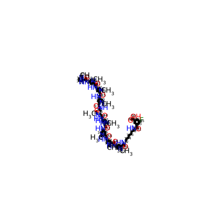 CC(=O)N[C@H](CCNC(=O)c1cc(NC(=O)c2cc(NC(=O)c3cc(NC(=O)c4nccn4C)cn3C)cn2C)cn1C)C(=O)Nc1cn(C)c(C(=O)Nc2cc(C(=O)Nc3cc(C(=O)Nc4cc(C(=O)NCCCCCCCNC(=O)c5cc(F)cc(C(=O)O)c5)n(C)c4)n(C)c3)n(C)c2)n1